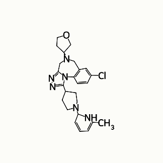 CC1=CC=CC(N2CCC(c3nnc4n3-c3ccc(Cl)cc3CN([C@H]3CCOC3)C4)CC2)N1